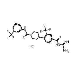 Cl.N=C(N)NC(=O)c1ccc(N2CCN(C(=O)Nc3cccc(C(F)(F)F)c3)CC2)c(C(F)(F)F)c1